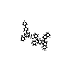 c1ccc(-c2ccc(-c3nc(-c4ccccc4)nc(-c4ccc5c(-n6c7ccccc7c7cc8c9c%10ccccc%10ccc9n(-c9ccc%10ccccc%10c9)c8cc76)cccc5c4)n3)cc2)cc1